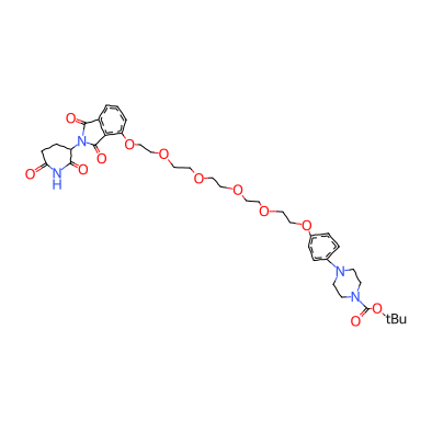 CC(C)(C)OC(=O)N1CCN(c2ccc(OCCOCCOCCOCCOCCOc3cccc4c3C(=O)N(C3CCC(=O)NC3=O)C4=O)cc2)CC1